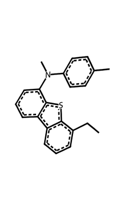 CCc1cccc2c1sc1c(N(C)c3ccc(C)cc3)cccc12